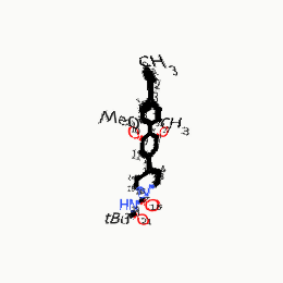 CC#Cc1cc(C)c(C2C(=O)CC(C3CCN(C(=O)NC(=O)C(C)(C)C)CC3)CC2=O)c(OC)c1